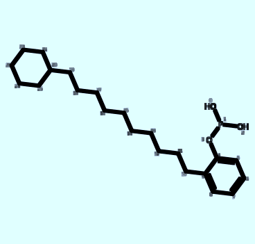 OP(O)Oc1ccccc1CCCCCCCCCCC1CCCCC1